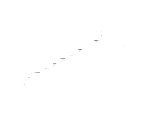 CC(=O)CCCC(C)(C)C(=O)/C=C/C(C)=C/C=C/C(C)=C/C=C/C=C(C)/C=C/C=C(C)/C=C/C1=C(C)CCCC1(C)C